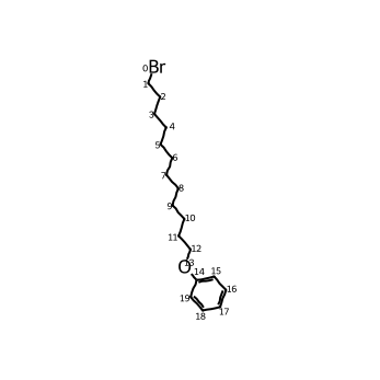 BrCCCCCCCCCCCCOc1ccccc1